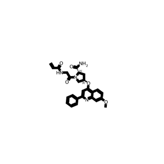 C=CC(=O)NCC(=O)N1C[C@H](Oc2cc(-c3ccccc3)nc3cc(OC)ccc23)C[C@H]1C(N)=O